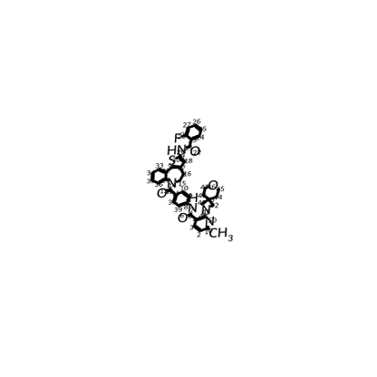 Cc1ccc(C(=O)Nc2ccc(C(=O)N3CCc4cc(NC(=O)c5ccccc5F)sc4-c4ccccc43)cc2)c(N2CC3(CCOCC3)C2)n1